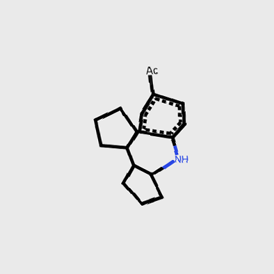 CC(=O)c1ccc(NC2CCCC2C2CCCC2)cc1